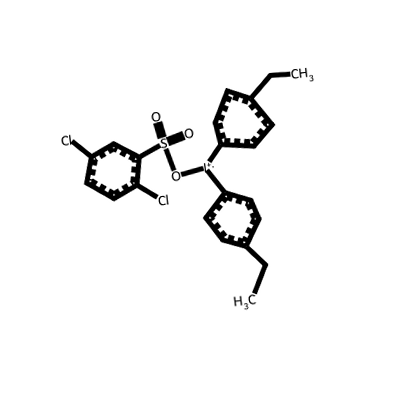 CCc1ccc([I+](OS(=O)(=O)c2cc(Cl)ccc2Cl)c2ccc(CC)cc2)cc1